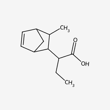 CCC(C(=O)O)C1C2C=CC(C2)C1C